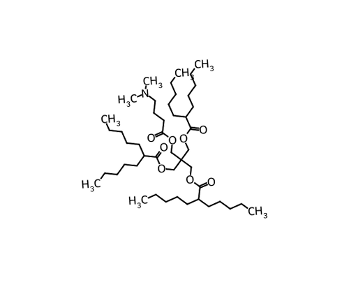 CCCCCC(CCCCC)C(=O)OCC(COC(=O)CCCN(C)C)(COC(=O)C(CCCCC)CCCCC)COC(=O)C(CCCCC)CCCCC